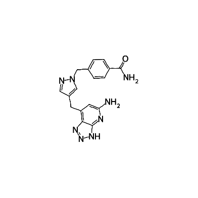 NC(=O)c1ccc(Cn2cc(Cc3cc(N)nc4[nH]nnc34)cn2)cc1